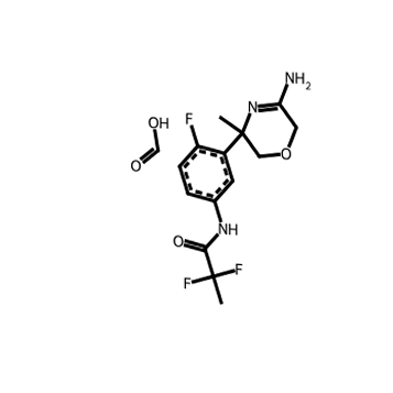 CC(F)(F)C(=O)Nc1ccc(F)c(C2(C)COCC(N)=N2)c1.O=CO